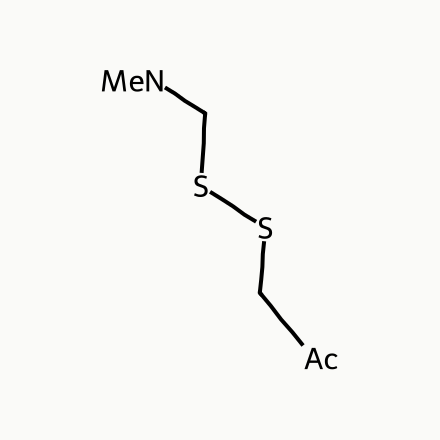 CNCSSCC(C)=O